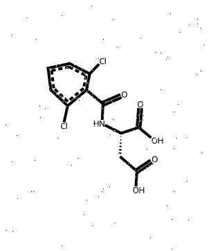 O=C(O)C[C@H](NC(=O)c1c(Cl)cccc1Cl)C(=O)O